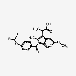 COc1ccc2c(c1)c(C(C)C(=O)O)c(C)n2C(=O)c1ccc(OC(F)F)cc1